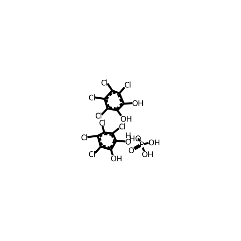 O=P(O)(O)O.Oc1c(O)c(Cl)c(Cl)c(Cl)c1Cl.Oc1c(O)c(Cl)c(Cl)c(Cl)c1Cl